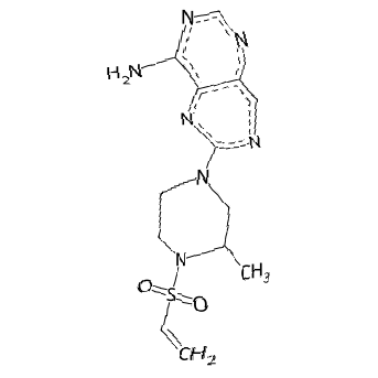 C=CS(=O)(=O)N1CCN(c2ncc3ncnc(N)c3n2)CC1C